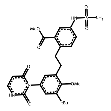 COC(=O)c1cc(NS(C)(=O)=O)ccc1CCc1cc(-n2c(=O)cc[nH]c2=O)cc(C(C)(C)C)c1OC